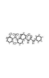 O=CN(c1c(Cl)ccnc1Cl)c1cccc2c(NC(=O)Nc3ccccc3)c(Cl)cnc12